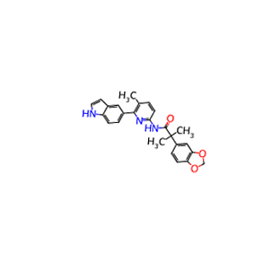 Cc1ccc(NC(=O)C(C)(C)c2ccc3c(c2)OCO3)nc1-c1ccc2[nH]ccc2c1